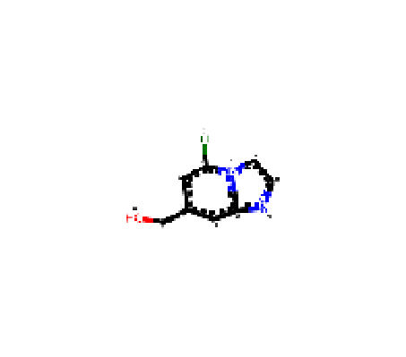 OCc1cc(Cl)n2ccnc2c1